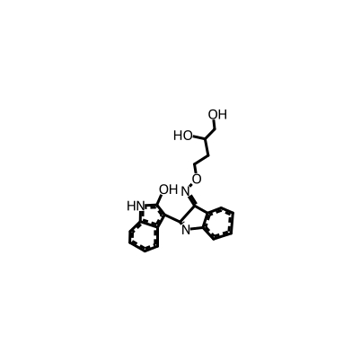 OCC(O)CCO/N=C1/C(c2c(O)[nH]c3ccccc23)=Nc2ccccc21